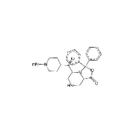 CCCN1CCC(C(=O)C2CNCC3C(=O)OC(c4ccccc4)(c4ccccc4)N32)CC1